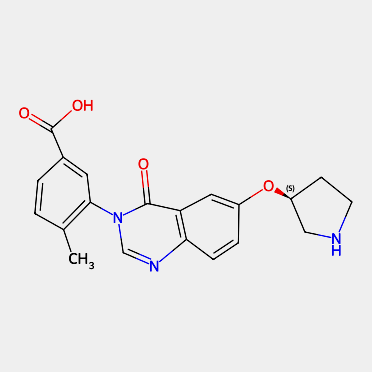 Cc1ccc(C(=O)O)cc1-n1cnc2ccc(O[C@H]3CCNC3)cc2c1=O